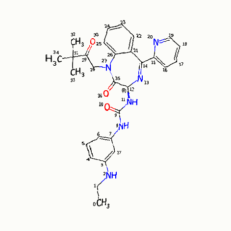 CCNc1cccc(NC(=O)N[C@@H]2N=C(c3ccccn3)c3ccccc3N(CC(=O)C(C)(C)C)C2=O)c1